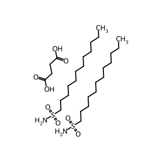 CCCCCCCCCCCCS(N)(=O)=O.CCCCCCCCCCCCS(N)(=O)=O.O=C(O)CCC(=O)O